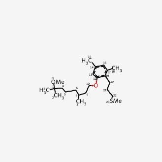 COC(C)(C)CCCC(C)CCOc1cc(C)cc(C)c1CCCSC